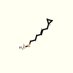 CSCCCC=CCC1[CH]C1